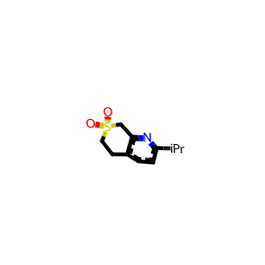 CC(C)c1ccc2c(n1)CS(=O)(=O)CC2